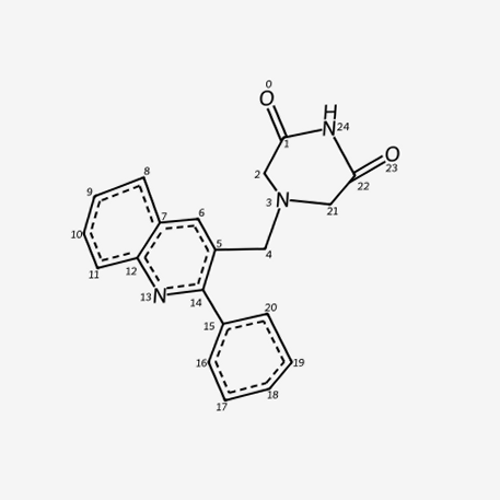 O=C1CN(Cc2cc3ccccc3nc2-c2ccccc2)CC(=O)N1